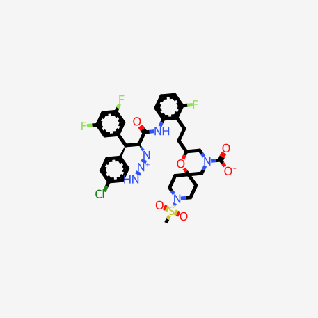 CS(=O)(=O)N1CCC2(CC1)CN(C(=O)[O-])CC(CCc1c(F)cccc1NC(=O)[C@@H](N=[N+]=N)[C@@H](c1ccc(Cl)cc1)c1cc(F)cc(F)c1)O2